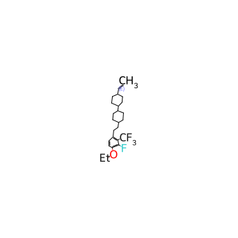 C/C=C/C1CCC(C2CCC(CCc3ccc(OCC)c(F)c3C(F)(F)F)CC2)CC1